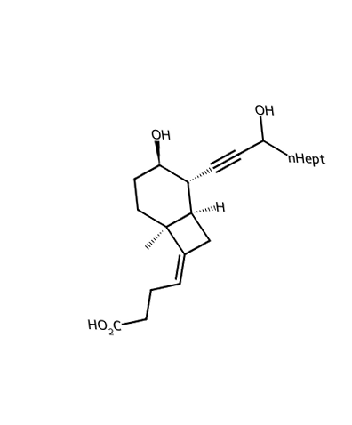 CCCCCCCC(O)C#C[C@H]1[C@H](O)CC[C@]2(C)C(=CCCC(=O)O)C[C@H]12